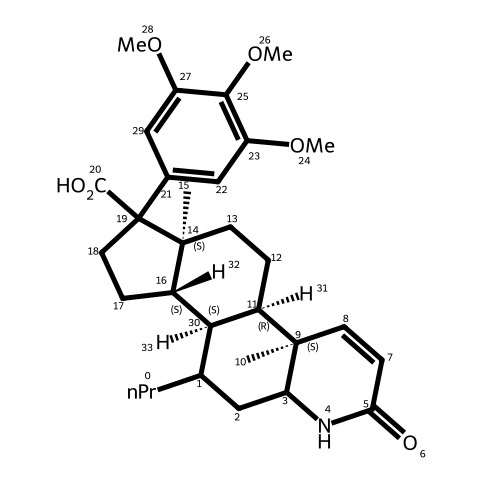 CCCC1CC2NC(=O)C=C[C@]2(C)[C@@H]2CC[C@@]3(C)[C@@H](CCC3(C(=O)O)c3cc(OC)c(OC)c(OC)c3)[C@H]12